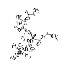 C=CCOC(=O)C(=O)N1C(=O)[C@H]([C@@](C)(O[SiH](C)C)C(C)(C)C)[C@H]1CC(=O)C1CN(C(=O)OCC=C)CCO1